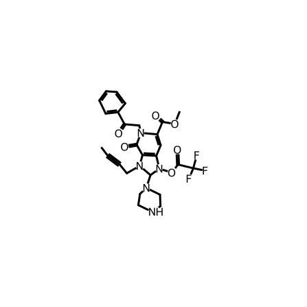 CC#CCN1c2c(cc(C(=O)OC)n(CC(=O)c3ccccc3)c2=O)N(OC(=O)C(F)(F)F)C1N1CCNCC1